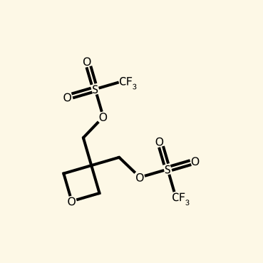 O=S(=O)(OCC1(COS(=O)(=O)C(F)(F)F)COC1)C(F)(F)F